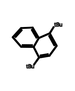 CC(C)(C)c1ccc(C(C)(C)C)c2ccccc12